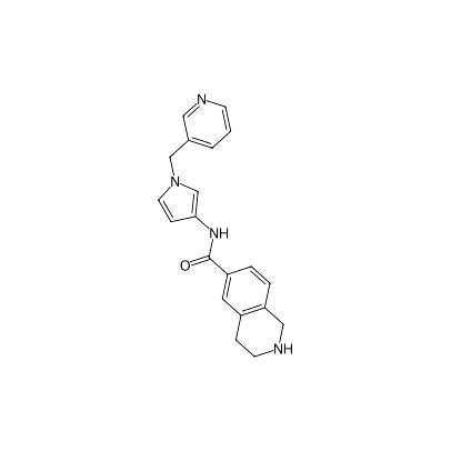 O=C(Nc1ccn(Cc2cccnc2)c1)c1ccc2c(c1)CCNC2